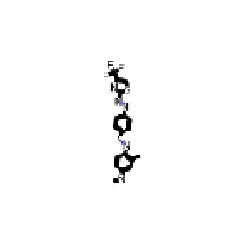 C=Nc1ccc(/N=N/c2ccc(/N=N/c3nc(C(F)(F)F)cs3)cc2)c(C)c1